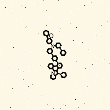 c1ccc(-c2cccc(N(c3cccc(-c4ccc(-c5cccc6c5c5ccccc5c5c6c(-c6ccccc6)c6ccccn65)cc4)c3)c3ccc4c(c3)oc3ccccc34)c2)cc1